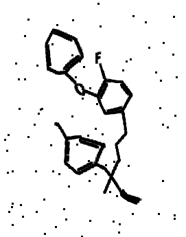 C#CC(C)(CCCc1ccc(F)c(Oc2ccccc2)c1)c1ccc(C)cc1